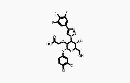 O=C(O)COC1C(n2cc(-c3cc(F)c(Cl)c(F)c3)nn2)[C@@H](O)C(CO)O[C@@H]1Sc1ccc(Cl)c(Cl)c1